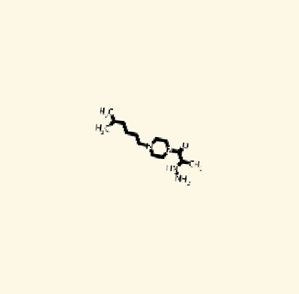 CC(C)CCCCN1CCN(C(=O)C(C)NN)CC1